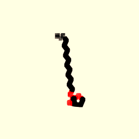 CCCCCCCCCCCCOC12OCCC1O2